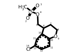 CS(=O)(=O)OCC1CCOc2ccc(Cl)cc21